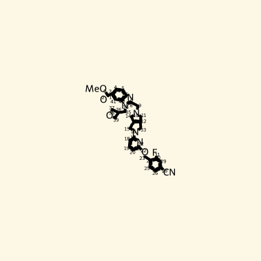 COC(=O)c1ccc2nc(CN3CC4=C(C3)CN(c3cccc(OCc5ccc(C#N)cc5F)n3)C4)n(CC3COC3)c2c1